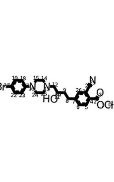 COC(=O)c1ccc(CC[C@H](O)CN2CCN(c3ccc(Br)cc3)CC2)cc1C#N